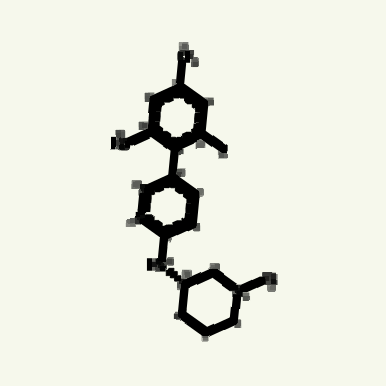 CCN1CCC[C@H](Nc2ccc(-c3c(C)cc(C(F)(F)F)cc3O)nn2)C1